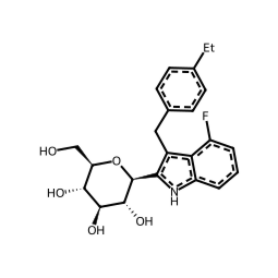 CCc1ccc(Cc2c([C@@H]3O[C@H](CO)[C@@H](O)[C@H](O)[C@H]3O)[nH]c3cccc(F)c23)cc1